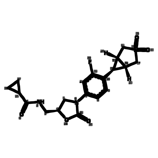 O=C(NC[C@H]1CN(c2ccc([C@H]3[C@@H]4CS(=O)(=O)C[C@@H]43)c(F)c2)C(=O)O1)C1CC1